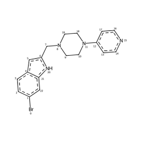 Brc1ccc2cc(CN3CCN(c4ccncc4)CC3)[nH]c2c1